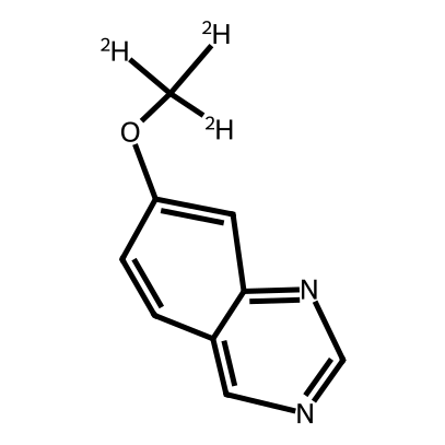 [2H]C([2H])([2H])Oc1ccc2cncnc2c1